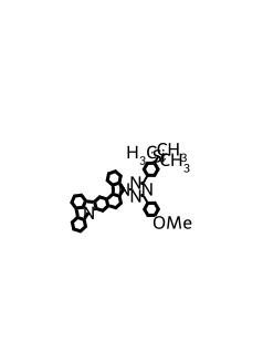 COc1ccc(-c2nc(-c3ccc([Si](C)(C)C)cc3)nc(-n3c4ccccc4c4c5cc6c7cccc8c9ccccc9n(c6cc5ccc43)c87)n2)cc1